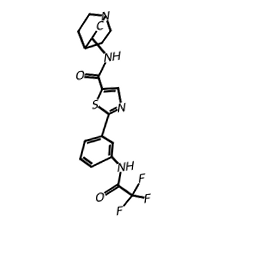 O=C(NC1CN2CCC1CC2)c1cnc(-c2cccc(NC(=O)C(F)(F)F)c2)s1